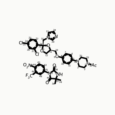 CC(=O)N1CCN(c2ccc(OC[C@H]3CO[C@](Cn4ccnc4)(c4ccc(Cl)cc4Cl)O3)cc2)CC1.CC1(C)NC(=O)N(c2ccc([N+](=O)[O-])c(C(F)(F)F)c2)C1=O